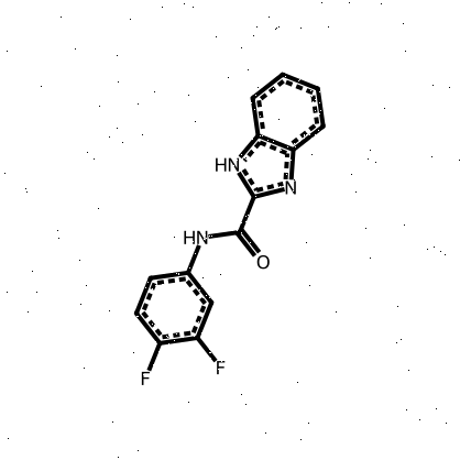 O=C(Nc1ccc(F)c(F)c1)c1nc2ccccc2[nH]1